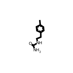 Cc1ccc(CCNC(N)=O)cc1